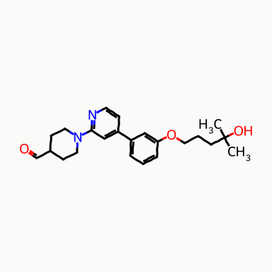 CC(C)(O)CCCOc1cccc(-c2ccnc(N3CCC(C=O)CC3)c2)c1